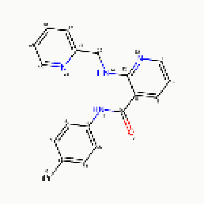 CC(C)c1ccc(NC(=O)c2cccnc2NCc2ccccn2)cc1